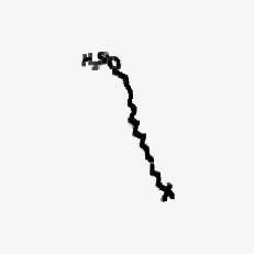 CC(C)(C)CCCCCCCCCCCCCCCCCO[SiH3]